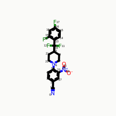 N#Cc1ccc(N2CCC(C(F)(F)c3ccc(F)cc3F)CC2)c([N+](=O)[O-])c1